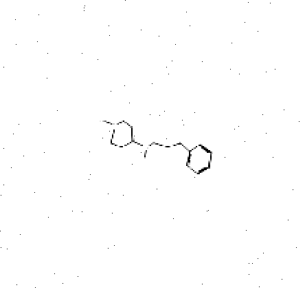 CC(C)(C)N1CCC(N(CCCc2ccccc2)C(=O)O)CC1